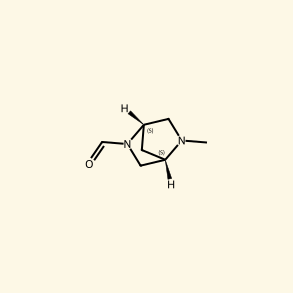 CN1C[C@@H]2C[C@H]1CN2C=O